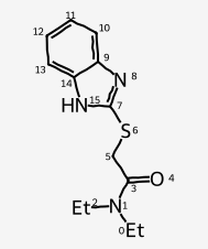 CCN(CC)C(=O)CSc1nc2ccccc2[nH]1